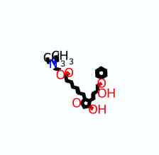 CCN(CC)CCOC(=O)CCCC=CCC1C(=O)CC(O)C1C=CC(O)COc1ccccc1